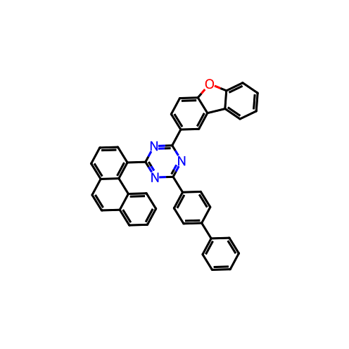 c1ccc(-c2ccc(-c3nc(-c4ccc5oc6ccccc6c5c4)nc(-c4cccc5ccc6ccccc6c45)n3)cc2)cc1